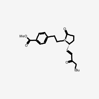 COC(=O)c1ccc(CCN2C(=O)CC[C@@H]2/C=C/C(=O)CC(C)(C)C)cc1